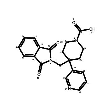 O=C(O)N1CCC(CN2C(=O)c3ccccc3C2=O)(c2cccnc2)CC1